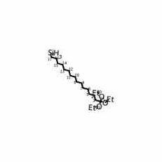 CCOC(CCCCCCCCCCCCCCC[SiH3])(OCC)OCC